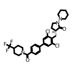 O=C(c1ccc(-c2cc(Cl)c(C[C@@H]3CCN(N4CCCCC4)C3=O)c(Cl)c2)cc1)N1CCC(C(F)(F)F)CC1